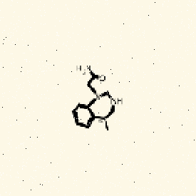 C[C@@H]1CNCN(CC(N)=O)c2ccccc21